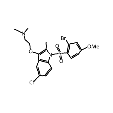 COc1ccc(S(=O)(=O)n2c(C)c(OCCN(C)C)c3cc(Cl)ccc32)c(Br)c1